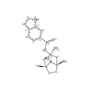 CN1[C@@H]2CC[C@H]1CC(C)(OC(=O)c1ccc3cc[nH]c3c1)C2